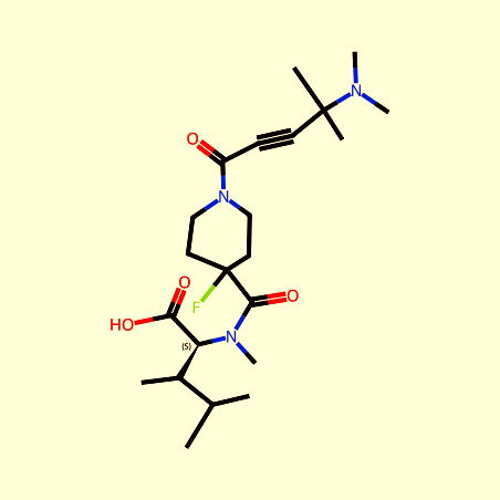 CC(C)C(C)[C@@H](C(=O)O)N(C)C(=O)C1(F)CCN(C(=O)C#CC(C)(C)N(C)C)CC1